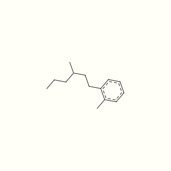 CCCC(C)CCc1ccccc1C